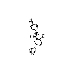 O=C(Nc1ccc(Cl)cc1)c1nc(-n2cnnc2)ccc1Cl